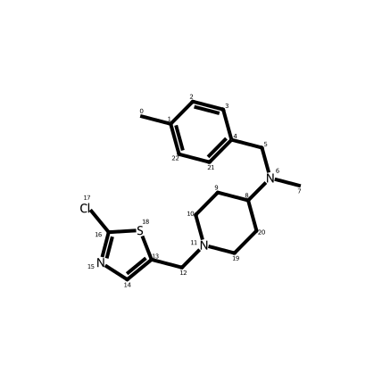 Cc1ccc(CN(C)C2CCN(Cc3cnc(Cl)s3)CC2)cc1